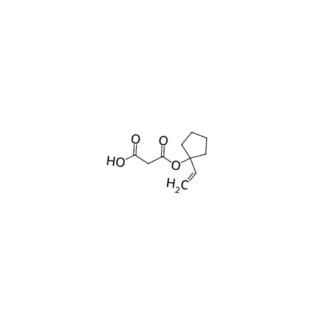 C=CC1(OC(=O)CC(=O)O)CCCC1